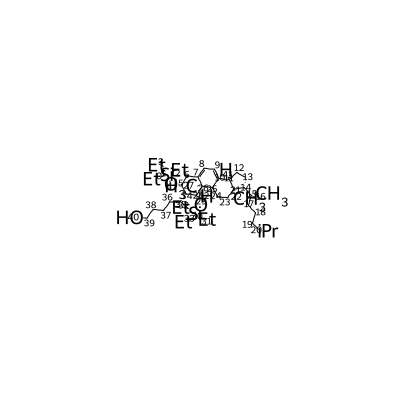 CC[Si](CC)(CC)O[C@@H]1CC2=CC=C3[C@@H]4CC[C@H]([C@H](C)CCCC(C)C)[C@@]4(C)CC[C@@H]3[C@@]2(C)[C@@H](O[Si](CC)(CC)CC)[C@@H]1CCCCCO